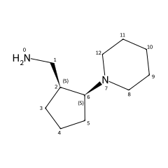 NC[C@@H]1CCC[C@@H]1N1CCCCC1